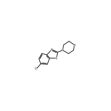 Clc1ccc2nc(N3CC[N]CC3)sc2c1